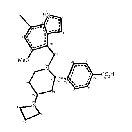 COc1cc(C)c2[nH]ccc2c1CN1CCC(N2CCC2)C[C@H]1c1ccc(C(=O)O)cc1